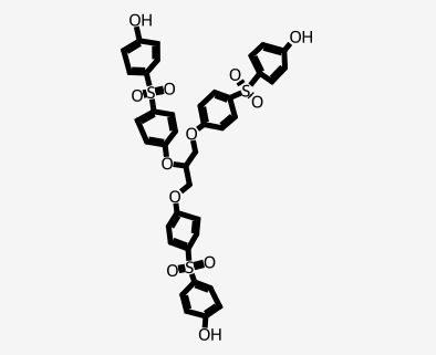 O=S(=O)(c1ccc(O)cc1)c1ccc(OCC(COc2ccc(S(=O)(=O)c3ccc(O)cc3)cc2)Oc2ccc(S(=O)(=O)c3ccc(O)cc3)cc2)cc1